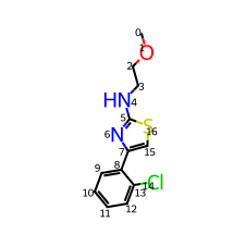 COCCNc1nc(-c2ccccc2Cl)cs1